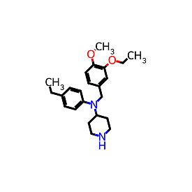 CCOc1cc(CN(c2ccc(CC)cc2)C2CCNCC2)ccc1OC